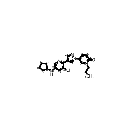 CCCn1cc(-n2cc(-c3ncc(NC4CCCC4)cc3Cl)cn2)ccc1=O